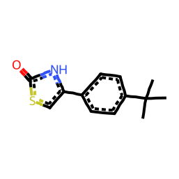 CC(C)(C)c1ccc(-c2csc(=O)[nH]2)cc1